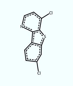 Clc1ccc2c(c1)sc1c(Cl)ccnc12